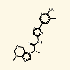 Cc1cc(-c2nc(NC(=O)[C@H](C)n3cnc4c3COCN4C)cs2)cnc1C(F)(F)F